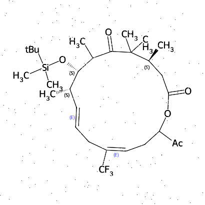 CC(=O)C1C/C=C(/C(F)(F)F)C/C=C/[C@H](C)[C@H](O[Si](C)(C)C(C)(C)C)C(C)C(=O)C(C)(C)[C@@H](C)CC(=O)O1